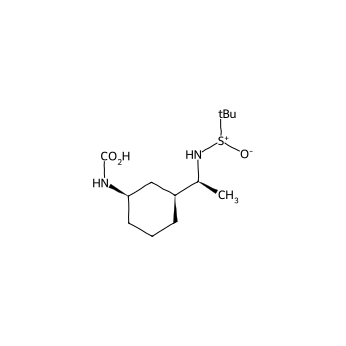 C[C@H](N[S+]([O-])C(C)(C)C)[C@H]1CCC[C@@H](NC(=O)O)C1